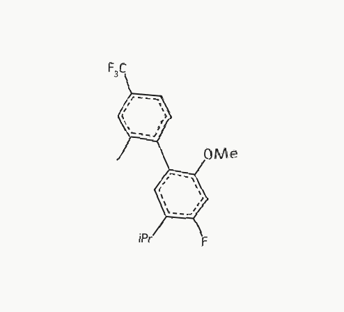 COc1cc(F)c(C(C)C)cc1-c1ccc(C(F)(F)F)cc1C